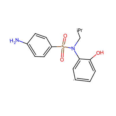 CC(C)CN(c1c[c]ccc1O)S(=O)(=O)c1ccc(N)cc1